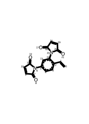 C=Cc1ccc(N2C(=O)C=CC2=O)cc1N1C(=O)C=CC1=O